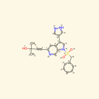 CC(C)(O)C#Cc1cc2c(-c3cn[nH]c3)cn(S(=O)(=O)Cc3ccccc3)c2cn1